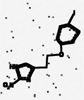 O=[N+]([O-])c1nc(CCOc2ccc(I)cc2)c[nH]1